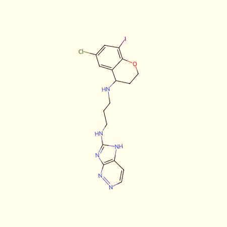 Clc1cc(I)c2c(c1)C(NCCCNc1nc3nnccc3[nH]1)CCO2